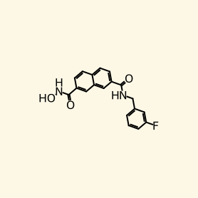 O=C(NO)c1ccc2ccc(C(=O)NCc3cccc(F)c3)cc2c1